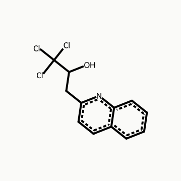 OC(Cc1ccc2ccccc2n1)C(Cl)(Cl)Cl